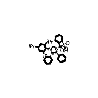 CC(C)c1cc(C(C)C)c(N2CN(C3(O)c4ccccc4S3(=O)=O)[C@@H](c3ccccc3)[C@@H]2c2ccccc2)c(C(C)C)c1